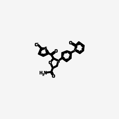 NC(=O)C1CN(c2ccc(-n3ccccc3=O)cc2)C(C(=O)c2ccc(Cl)s2)O1